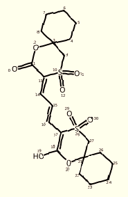 O=C1OC2(CCCCC2)CS(=O)(=O)C1=CC=CC1=C(O)OC2(CCCCC2)CS1(=O)=O